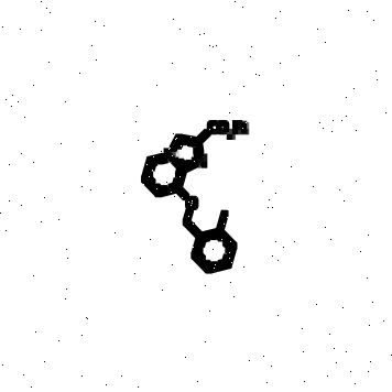 CCOC(=O)c1cn2cccc(OCc3ccccc3C)c2n1